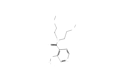 COCCN(CCOC)C(=O)c1ccncc1ON